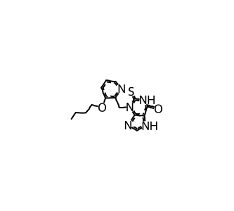 CCCCOc1cccnc1Cn1c(=S)[nH]c(=O)c2[nH]cnc21